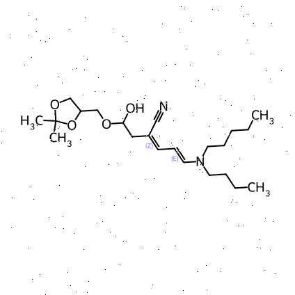 CCCCCN(/C=C/C=C(\C#N)CC(O)OCC1COC(C)(C)O1)CCCC